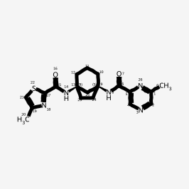 Cc1cncc(C(=O)N[C@@]23CCC[C@@](NC(=O)c4nc(C)cs4)(CC2)C3)n1